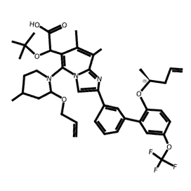 C=CCOC1CC(C)CCN1c1c(C(OC(C)(C)C)C(=O)O)c(C)c(C)c2nc(-c3cccc(-c4cc(OC(F)(F)F)ccc4O[C@@H](C)CC=C)c3)cn12